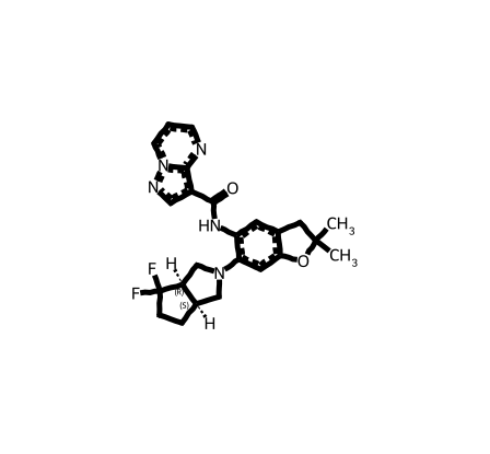 CC1(C)Cc2cc(NC(=O)c3cnn4cccnc34)c(N3C[C@H]4CCC(F)(F)[C@H]4C3)cc2O1